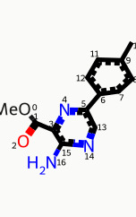 COC(=O)c1nc(-c2ccc(C)cc2)cnc1N